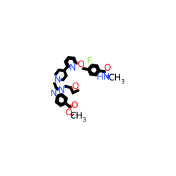 CNC(=O)c1ccc(COc2cccc(C3CCN(Cc4nc5ccc(C(=O)OC)cc5n4CC4CCO4)CC3)n2)c(F)c1